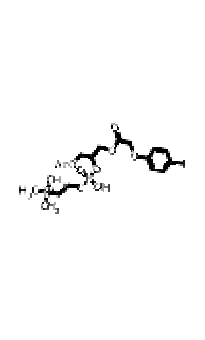 CC(=O)OCC(COC(=O)COc1ccc(I)cc1)OP(=O)(O)OCC[N+](C)(C)C